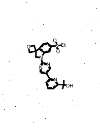 CCS(=O)(=O)c1ccc2c(c1)N(c1ncc(-c3cccc(C(C)(C)O)n3)cn1)CC21COC1